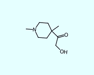 CN1CCC(C)(C(=O)CO)CC1